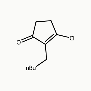 CCCCCC1=C(Cl)CCC1=O